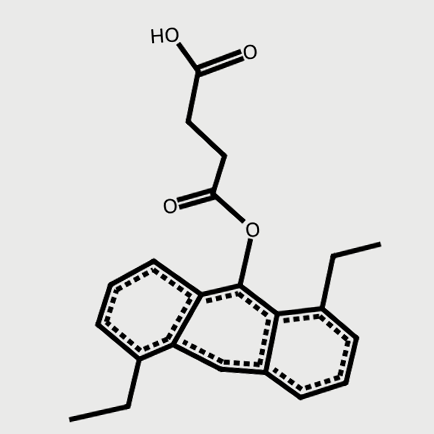 CCc1cccc2c(OC(=O)CCC(=O)O)c3c(CC)cccc3cc12